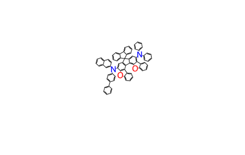 c1ccc(-c2ccc(N(c3ccc4ccccc4c3)c3cc4c(c5c3oc3ccccc35)-c3c(cc(N(c5ccccc5)c5ccccc5)c5c3oc3ccccc35)C43c4ccccc4-c4ccccc43)cc2)cc1